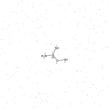 N[SiH](S)OS